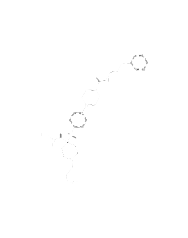 COCCN1CCC(C(=O)NO)(S(=O)(=O)c2ccc(N3CCC(C(=O)NCCCc4ccccc4)CC3)cc2)CC1